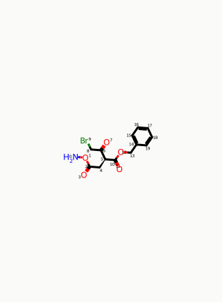 NOC(=O)C[C@@H](C(=O)CBr)C(=O)OCc1ccccc1